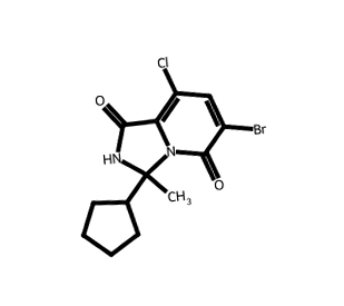 CC1(C2CCCC2)NC(=O)c2c(Cl)cc(Br)c(=O)n21